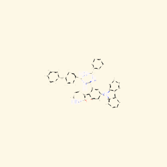 C1=Cc2c(oc3cc(-n4c5ccccc5c5ccccc54)cc(C4=NC(c5ccccc5)NC(c5ccc(-c6ccccc6)cc5)N4)c23)NC1